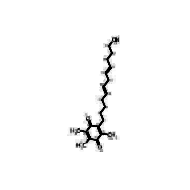 CC1=C(C)C(=O)C(CCCC/C=C/C/C=C/CCCC#N)=C(C)C1=O